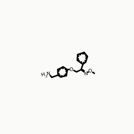 CO/N=C(/COc1ccc(CN)cc1)c1ccccc1